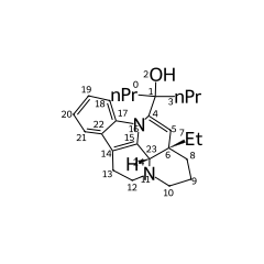 CCCC(O)(CCC)C1=C[C@]2(CC)CCCN3CCc4c(n1c1ccccc41)[C@@H]32